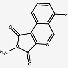 CN1C(=O)c2ncc3c(F)cccc3c2C1=O